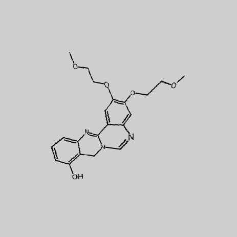 COCCOc1cc2c(cc1OCCOC)C1=Nc3cccc(O)c3CN1C=N2